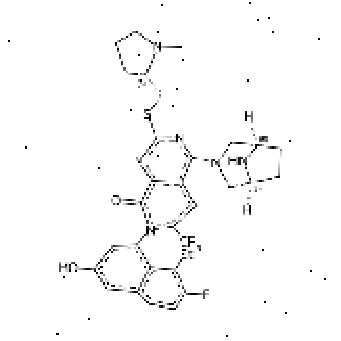 CCc1c(F)ccc2cc(O)cc(-n3c(C(F)(F)F)cc4c(N5C[C@H]6CC[C@@H](C5)N6)nc(SC[C@@H]5CCCN5C)nc4c3=O)c12